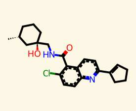 C[C@@H]1CCC[C@](O)(CNC(=O)c2c(Cl)ccc3nc(C4=CCCC4)ccc23)C1